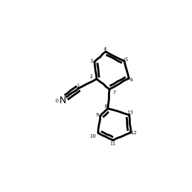 N#Cc1cc[c]cc1-c1ccccc1